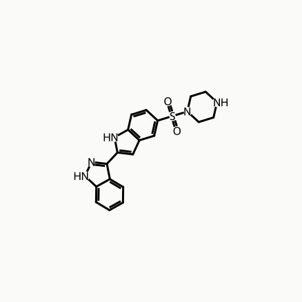 O=S(=O)(c1ccc2[nH]c(-c3n[nH]c4ccccc34)cc2c1)N1CCNCC1